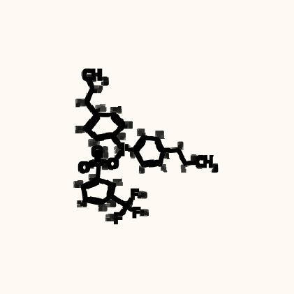 CCCc1ccc([I+](OS(=O)(=O)c2cccc(C(F)(F)F)c2)c2ccc(CCC)cc2)cc1